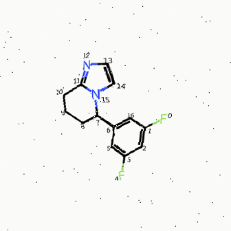 Fc1cc(F)cc(C2CCCc3nccn32)c1